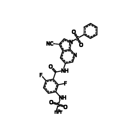 CCCS(=O)(=O)Nc1ccc(F)c(C(=O)Nc2cnc3c(c2)c(C#N)cn3S(=O)(=O)c2ccccc2)c1F